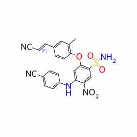 Cc1cc(/C=C/C#N)ccc1Oc1cc(Nc2ccc(C#N)cc2)c([N+](=O)[O-])cc1S(N)(=O)=O